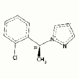 C[C@@H](c1ccccc1Cl)n1c[c]cn1